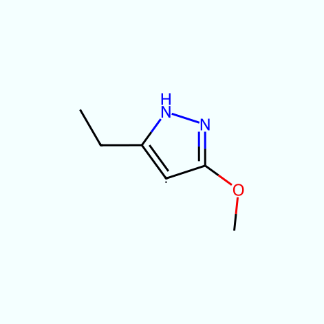 CCc1[c]c(OC)n[nH]1